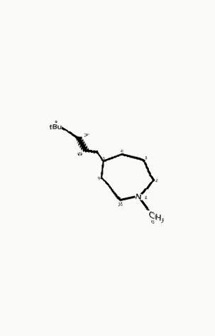 CN1CCCC(CCC(C)(C)C)CC1